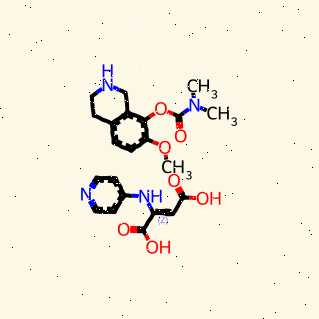 COc1ccc2c(c1OC(=O)N(C)C)CNCC2.O=C(O)/C=C(\Nc1ccncc1)C(=O)O